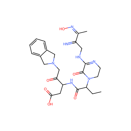 CCC(C(=O)NC(CC(=O)O)C(=O)CN1Cc2ccccc2C1)N1CCN=C(NCC(=N)/C(C)=N\O)C1=O